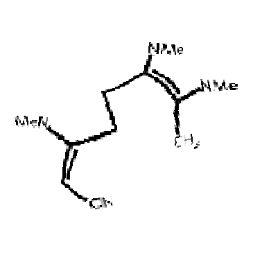 CNC(C)=C(CC/C(=C\C#N)NC)NC